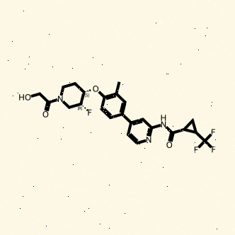 Cc1cc(-c2ccnc(NC(=O)C3CC3C(F)(F)F)c2)ccc1O[C@H]1CCN(C(=O)CO)C[C@H]1F